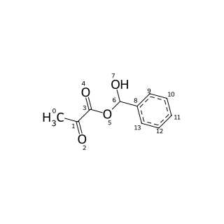 CC(=O)C(=O)OC(O)c1ccccc1